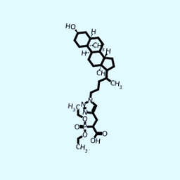 CCOP(=O)(OCC)C(Cc1cn(CCCC(C)C2CC[C@H]3C4CC[C@@H]5C[C@H](O)CC[C@]5(C)[C@@H]4CC[C@]23C)nn1)C(=O)O